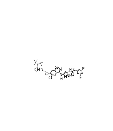 COc1cc2c(Nc3cc(CC(=O)Nc4cc(F)cc(F)c4)[nH]n3)ncnc2cc1OCCCN1CCC[C@H]1C(C(C)(C)C)C(C)(C)C